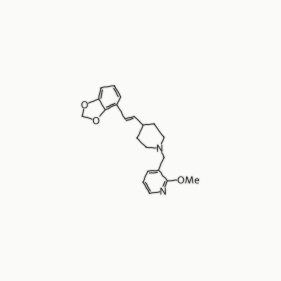 COc1ncccc1CN1CCC(C=Cc2cccc3c2OCO3)CC1